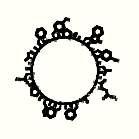 CCCC[C@H]1C(=O)N2CSC[C@@H]2C(=O)N[C@@H](CC(=O)O)C(=O)N[C@@H](C(C)C)C(=O)N(C)C(Cc2ccccc2)C(=O)N[C@@H](Cc2ccc(O)cc2)C(=O)N2CCC[C@@H]2C(=O)N[C@@H](Cc2c[nH]c3ccccc23)C(=O)N[C@@H](Cc2ccc(O)cc2)C(=O)N[C@@H](CC(C)C)C(=O)N[C@H](C(=O)NCC(N)=O)CSCC(=O)N[C@@H](Cc2ccccc2)C(=O)N(C)[C@@H](Cc2ccccc2)C(=O)N1C